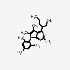 CCCC(CC)c1nc(C)nc2c1c(C)c(C)n2-c1c(C)cc(C)cc1C